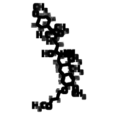 COCCCOc1cc(CC(CC(N)C(O)CNC(=O)C(C)(C)C2CCC(OC)CC2)C(C)C)ccc1OC.Cl